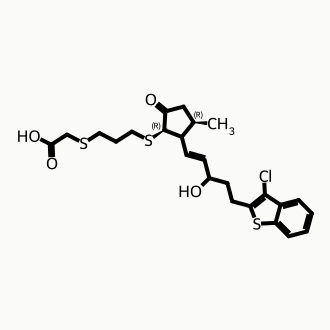 C[C@@H]1CC(=O)[C@H](SCCCSCC(=O)O)C1C=CC(O)CCc1sc2ccccc2c1Cl